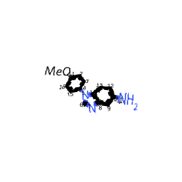 COc1ccc(-n2[c]nc3cc(N)ccc32)cc1